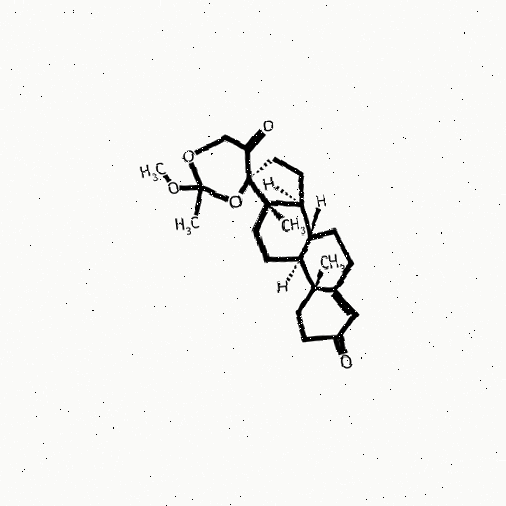 COC1(C)OCC(=O)[C@]2(CC[C@H]3[C@@H]4CCC5=CC(=O)CC[C@]5(C)[C@H]4CC[C@@]32C)O1